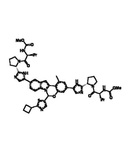 COC(=O)N[C@H](C(=O)N1CCC[C@H]1c1ncc(-c2cc(C)c3c(c2)OC(c2cnc(C4CCC4)s2)n2c-3cc3cc(-c4cnc([C@@H]5CCCN5C(=O)[C@@H](NC(=O)OC)C(C)C)[nH]4)ccc32)[nH]1)C(C)C